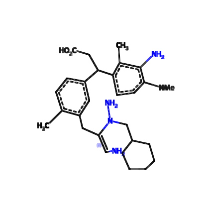 CNc1ccc(C(CC(=O)O)c2ccc(C)c(C/C(=C/N)N(N)CC3CCCCC3)c2)c(C)c1N